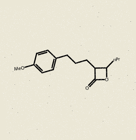 CCCC1OC(=O)C1CCCc1ccc(OC)cc1